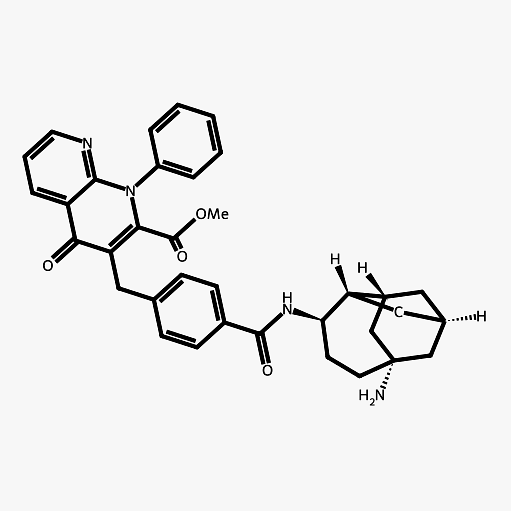 COC(=O)c1c(Cc2ccc(C(=O)N[C@@H]3CC[C@]4(N)C[C@@H]5C[C@H](C4)[C@@H]3C5)cc2)c(=O)c2cccnc2n1-c1ccccc1